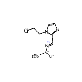 CC(C)(C)[S+]([O-])/N=C/c1nccn1CCCl